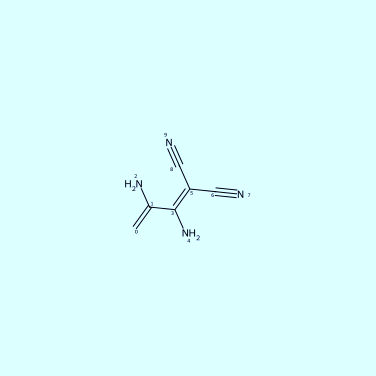 C=C(N)C(N)=C(C#N)C#N